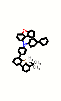 CC(C)(C)c1cccc2c1sc1c(-c3ccc(N(c4ccc(-c5ccccc5)cc4)c4cccc5oc6ccccc6c45)cc3)cccc12